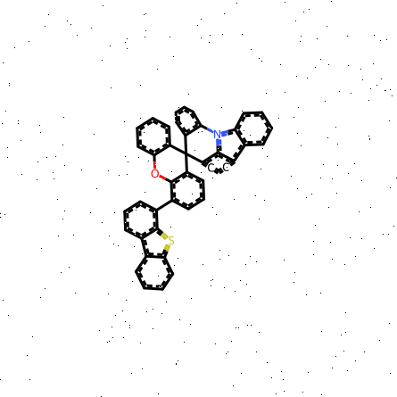 c1ccc2c(c1)Oc1c(-c3cccc4c3sc3ccccc34)cccc1C21c2ccccc2-n2c3ccccc3c3cccc1c32